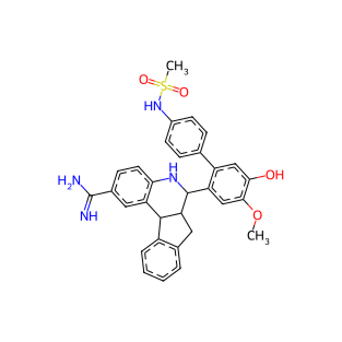 COc1cc(C2Nc3ccc(C(=N)N)cc3C3c4ccccc4CC23)c(-c2ccc(NS(C)(=O)=O)cc2)cc1O